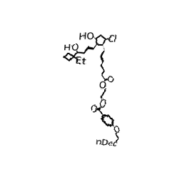 CCCCCCCCCCCCOc1ccc(C(=O)OCCOC(=O)CCCC=CC[C@@H]2[C@@H](C=CC[C@H](O)C3(CC)CCC3)[C@H](O)C[C@H]2Cl)cc1